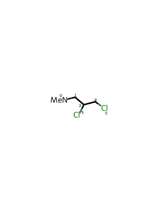 CNCC(Cl)CCl